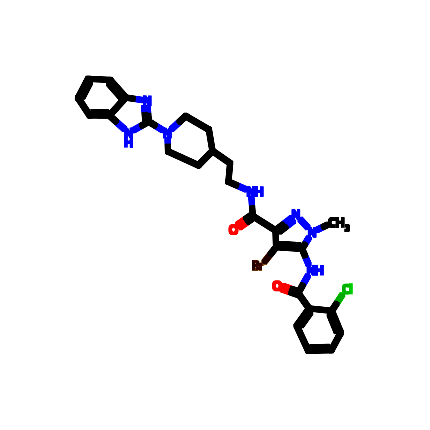 Cn1nc(C(=O)NCCC2CCN(c3nc4ccccc4[nH]3)CC2)c(Br)c1NC(=O)c1ccccc1Cl